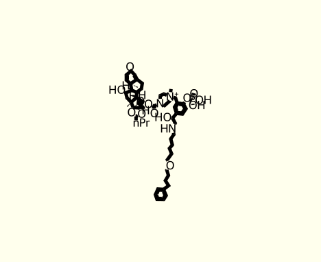 CCCC1O[C@@H]2C[C@H]3[C@@H]4CCC5=CC(=O)C=C[C@]5(C)[C@H]4[C@@H](O)C[C@]3(C)[C@]2(C(=O)COC(=O)N2CC[N+](C)(Cc3cc(C(O)CNCCCCCCOCCCCc4ccccc4)ccc3OP(=O)(O)O)CC2)O1